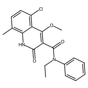 CCN(C(=O)c1c(OC)c2c(Cl)ccc(C)c2[nH]c1=O)c1ccccc1